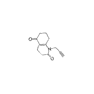 C#CCN1C(=O)CCC2=C1CCCC2=O